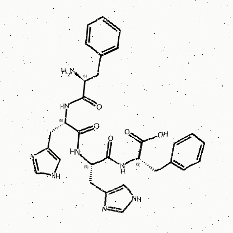 N[C@@H](Cc1ccccc1)C(=O)N[C@@H](Cc1c[nH]cn1)C(=O)N[C@@H](Cc1c[nH]cn1)C(=O)N[C@@H](Cc1ccccc1)C(=O)O